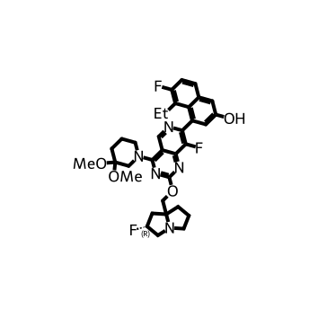 CCc1c(F)ccc2cc(O)cc(-c3ncc4c(N5CCCC(OC)(OC)C5)nc(OCC56CCCN5C[C@H](F)C6)nc4c3F)c12